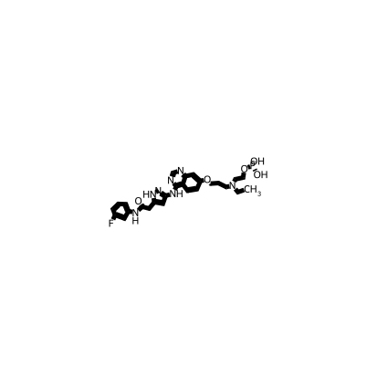 CCN(CCCOc1ccc2c(Nc3cc(CC(=O)Nc4cccc(F)c4)[nH]n3)ncnc2c1)CCOP(O)O